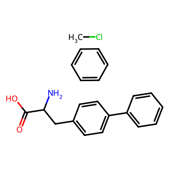 CCl.NC(Cc1ccc(-c2ccccc2)cc1)C(=O)O.c1ccccc1